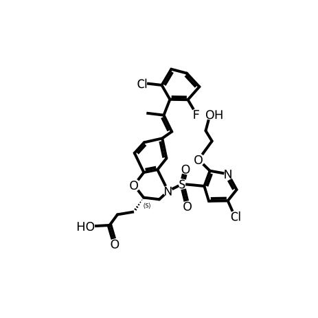 CC(=Cc1ccc2c(c1)N(S(=O)(=O)c1cc(Cl)cnc1OCCO)C[C@H](CCC(=O)O)O2)c1c(F)cccc1Cl